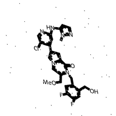 COCc1cn2cc(-c3cc(Nc4ccnn4C)ncc3Cl)cc2c(=O)n1Cc1cc(F)c(F)cc1CO